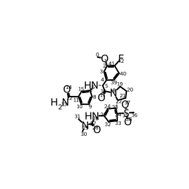 COc1cc([C@@H](Nc2cccc(C(N)=O)c2)C(=O)N2CCC[C@@H]2c2cc(NC(=O)N(C)C)ccc2S(C)(=O)=O)ccc1F